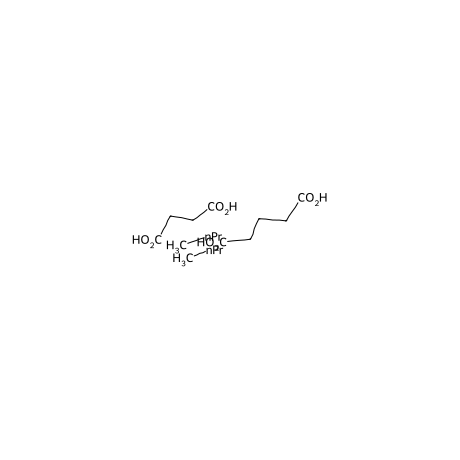 CCCC.CCCC.O=C(O)CCC(=O)O.O=C(O)CCCC(=O)O